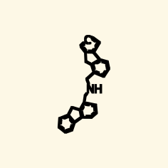 c1ccc2c(c1)Cc1c(CNCc3cccc4c3Cc3ccccc3-4)cccc1-2